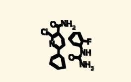 NC(=O)Nc1ccccc1F.NC(=O)c1ccc(-c2ccccc2)nc1Cl